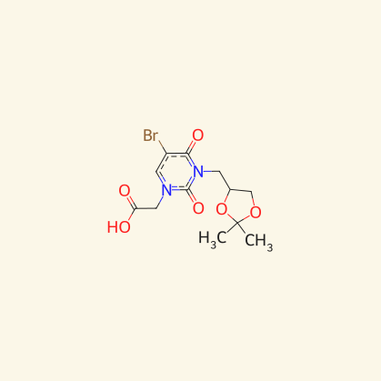 CC1(C)OCC(Cn2c(=O)c(Br)cn(CC(=O)O)c2=O)O1